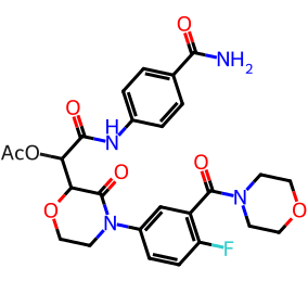 CC(=O)OC(C(=O)Nc1ccc(C(N)=O)cc1)C1OCCN(c2ccc(F)c(C(=O)N3CCOCC3)c2)C1=O